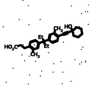 CCC(CC)(c1ccc(C#CC2(O)CCCCC2)c(C)c1)c1ccc(CCC(=O)O)c(C)c1